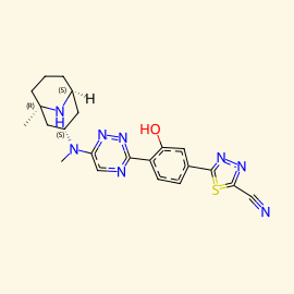 CN(c1cnc(-c2ccc(-c3nnc(C#N)s3)cc2O)nn1)[C@H]1C[C@@H]2CCC[C@](C)(C1)N2